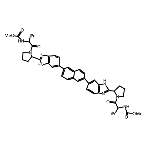 COC(=O)NC(C(=O)N1CCCC1c1nc2ccc(-c3ccc4cc(-c5ccc6nc(C7CCCN7C(=O)C(NC(=O)OC)C(C)C)[nH]c6c5)ccc4c3)cc2[nH]1)C(C)C